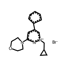 [Br-].c1ccc(-c2cc(N3CCOCC3)n[n+](CC3CC3)c2)cc1